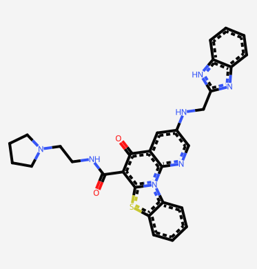 O=C(NCCN1CCCC1)c1c(=O)c2cc(NCc3nc4ccccc4[nH]3)cnc2n2c1sc1ccccc12